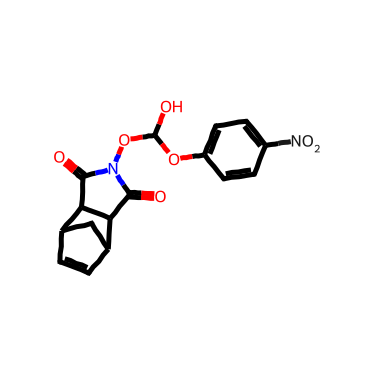 O=C1C2C3C=CC(C3)C2C(=O)N1OC(O)Oc1ccc([N+](=O)[O-])cc1